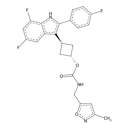 Cc1cc(CNC(=O)O[C@H]2C[C@H](c3c(-c4ccc(F)cc4)[nH]c4c(F)cc(F)cc43)C2)on1